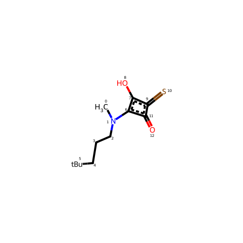 CN(CCCC(C)(C)C)c1c(O)c(=S)c1=O